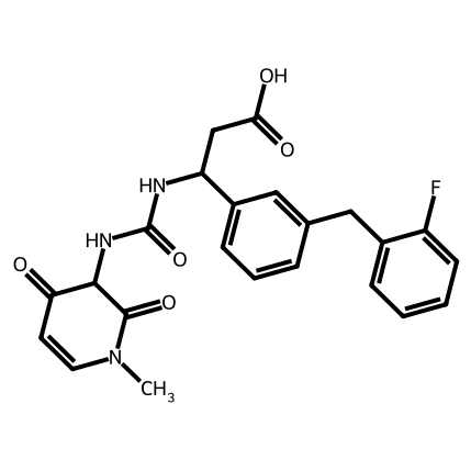 CN1C=CC(=O)C(NC(=O)NC(CC(=O)O)c2cccc(Cc3ccccc3F)c2)C1=O